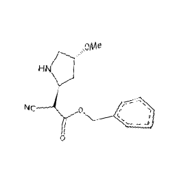 CO[C@H]1CN[C@H](C(C#N)C(=O)OCc2ccccc2)C1